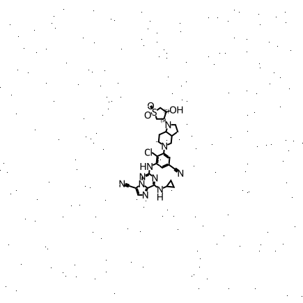 N#Cc1cc(Nc2nc(NC3CC3)c3ncc(C#N)n3n2)c(Cl)c(N2CCC3C(CCN3[C@@H]3CS(=O)(=O)C[C@H]3O)C2)c1